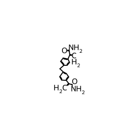 C=C(C(N)=O)c1ccc(Cc2ccc(C(=C)C(N)=O)cc2)cc1